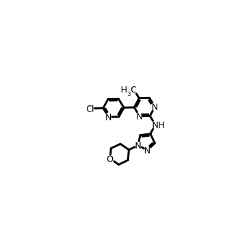 Cc1cnc(Nc2cnn(C3CCOCC3)c2)nc1-c1ccc(Cl)nc1